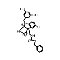 C=C1CNC[C@@H]2N(Cc3cc(O)cc(O)c3)c3ccc(Cl)cc3[C@]12CCNC(=O)OCc1ccccc1